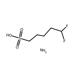 N.O=S(=O)(O)CCCCC(F)F